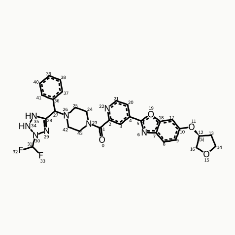 O=C(c1cc(-c2nc3ccc(O[C@H]4CCOC4)cc3o2)ccn1)N1CCN(C(C2=NN(C(F)F)NN2)c2ccccc2)CC1